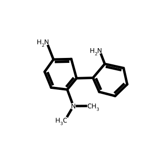 CN(C)c1ccc(N)cc1-c1ccccc1N